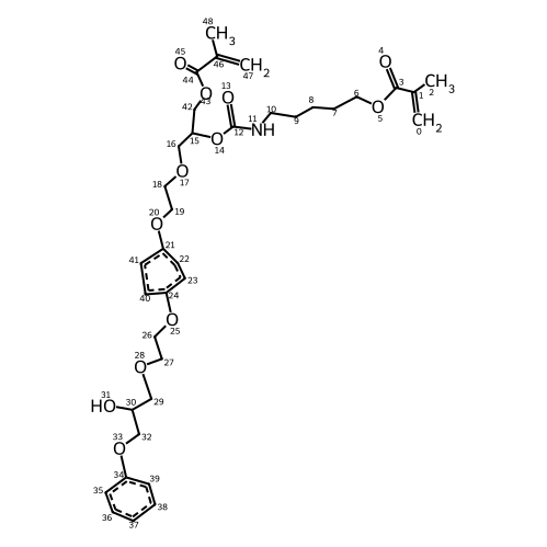 C=C(C)C(=O)OCCCCCNC(=O)OC(COCCOc1ccc(OCCOCC(O)COc2ccccc2)cc1)COC(=O)C(=C)C